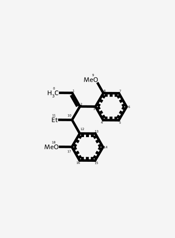 CC=C(c1ccccc1OC)C(CC)c1ccccc1OC